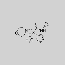 COC(CN1CCOCC1)(C(=S)NC1CC1)c1cscn1